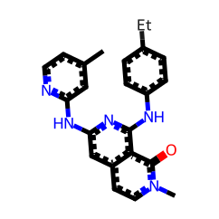 CCc1ccc(Nc2nc(Nc3cc(C)ccn3)cc3ccn(C)c(=O)c23)cc1